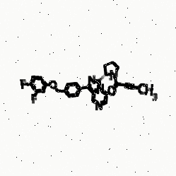 CC#CC(=O)N1CCC[C@H]1c1nc(-c2ccc(COc3ccc(F)c(F)c3)cc2)c2cnccn12